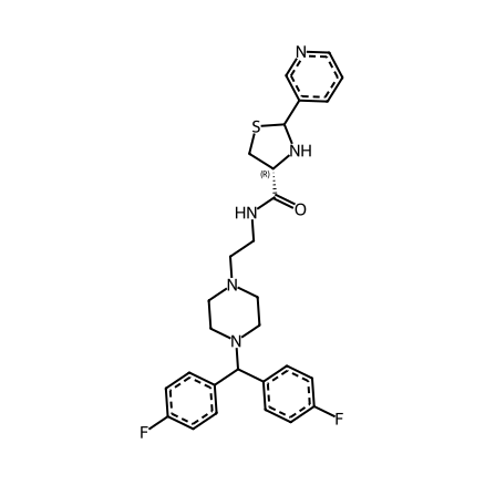 O=C(NCCN1CCN(C(c2ccc(F)cc2)c2ccc(F)cc2)CC1)[C@@H]1CSC(c2cccnc2)N1